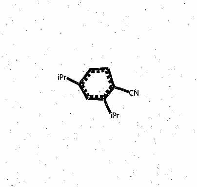 CC(C)c1ccc(C#N)c(C(C)C)c1